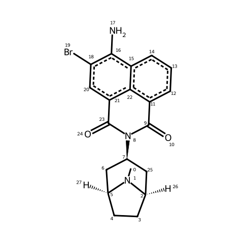 CN1[C@@H]2CC[C@H]1C[C@@H](N1C(=O)c3cccc4c(N)c(Br)cc(c34)C1=O)C2